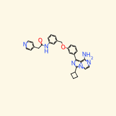 Nc1nccn2c(C3CCC3)nc(-c3cccc(OCc4cccc(NC(=O)Cc5ccncc5)c4)c3)c12